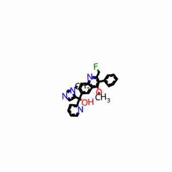 COc1c(-c2ccccc2)c(CF)nc2ccc(C(O)(c3ccccn3)c3cncn3C)cc12